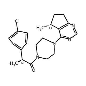 [CH2][C@H](C(=O)N1CCN(c2ncnc3c2[C@H](C)CC3)CC1)c1ccc(Cl)cc1